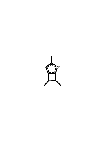 Cc1cc2c([nH]1)C(C)C2C